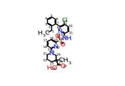 CCc1ccccc1-c1nc(NS(=O)(=O)c2cccc(N3CCCC(C)(C(=O)O)C3)n2)ccc1Cl